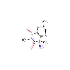 Cc1ccc2c(c1)C(=O)N(C)C(=O)C2(C)N